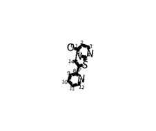 O=c1ccnc2sc(-c3ccccn3)cn12